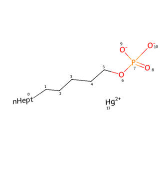 CCCCCCCCCCCCOP(=O)([O-])[O-].[Hg+2]